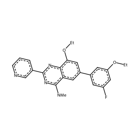 CCOc1cc(F)cc(-c2cc(OCC)c3nc(-c4cccnc4)nc(NC)c3c2)c1